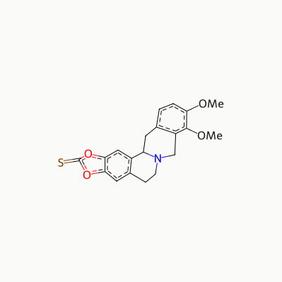 COc1ccc2c(c1OC)CN1CCc3cc4oc(=S)oc4cc3C1C2